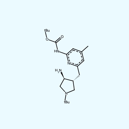 Cc1cc(C[C@@H]2CN(C(C)(C)C)C[C@H]2N)nc(NC(=O)OC(C)(C)C)c1